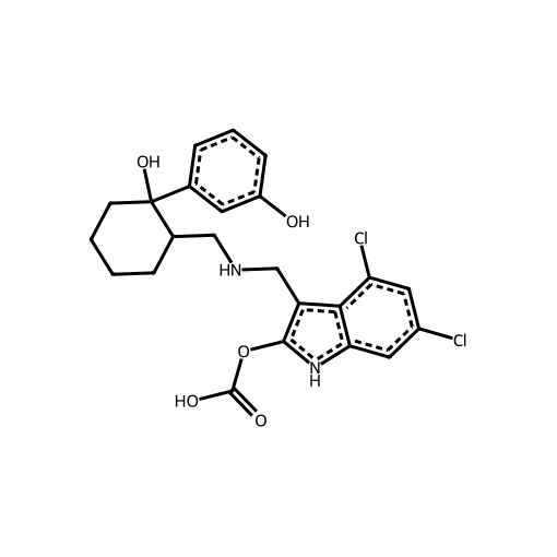 O=C(O)Oc1[nH]c2cc(Cl)cc(Cl)c2c1CNCC1CCCCC1(O)c1cccc(O)c1